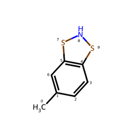 Cc1ccc2c(c1)SNS2